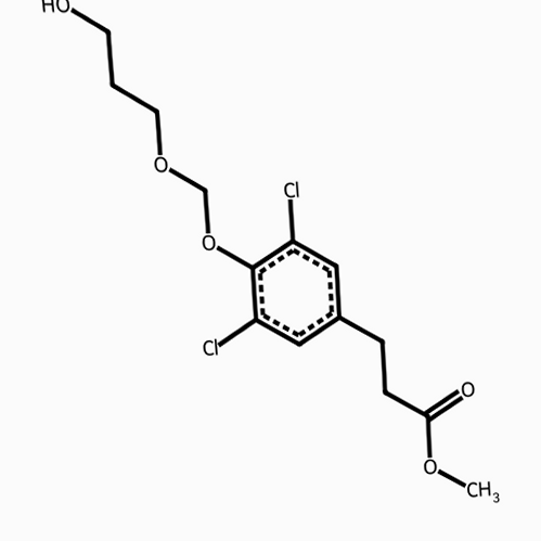 COC(=O)CCc1cc(Cl)c(OCOCCCO)c(Cl)c1